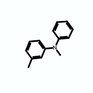 Cc1cccc(N(C)c2ccccc2)c1